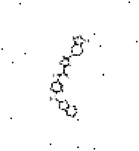 O=C(Nc1cnc(NC2Cc3ccccc3C2)nc1)c1nnc(N2CCc3[nH]nnc3C2)o1